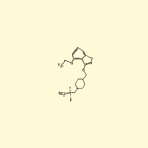 CCOC(=O)C(F)(F)CN1CCC(COc2noc3cccc(OCC(F)(F)F)c23)CC1